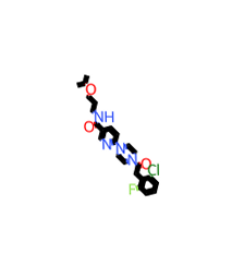 CC(C)OCCCNC(=O)c1ccc(N2CCN(C(=O)Cc3c(F)cccc3Cl)CC2)nc1